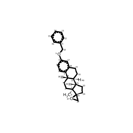 C[C@]12CC[C@@H]3c4ccc(OCc5ccccc5)cc4CC[C@H]3[C@@H]1CC[C@]21CO1